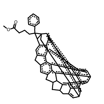 COC(=O)CCCC1(c2ccccc2)C2c3cc4c5c6c(cc7c8c9c%10c%11c%12c%13c%14c%15c(c%16c3c5c(c%10c86)c%16c%14%11)C21CC%15C=C%13CC1CC(C7)C9C=%121)C4